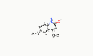 COc1ccc2[nH]c(=O)cc(C=O)c2c1